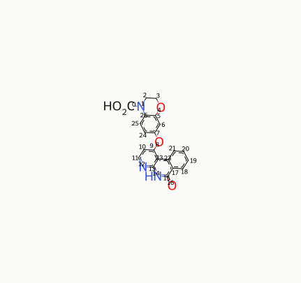 O=C(O)N1CCOc2cc(Oc3ccnc4[nH]c(=O)c5ccccc5c34)ccc21